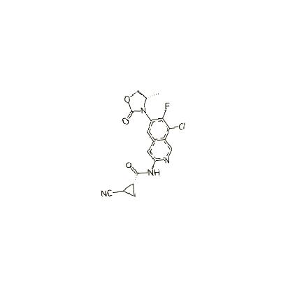 C[C@H]1COC(=O)N1c1cc2cc(NC(=O)[C@@H]3CC3C#N)ncc2c(Cl)c1F